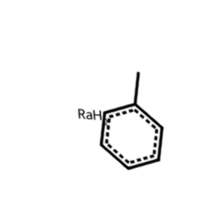 Cc1ccccc1.[RaH2]